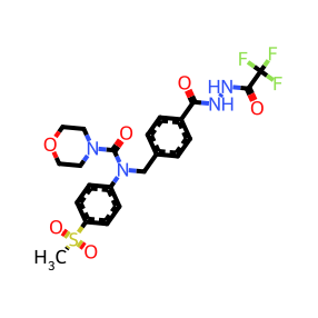 CS(=O)(=O)c1ccc(N(Cc2ccc(C(=O)NNC(=O)C(F)(F)F)cc2)C(=O)N2CCOCC2)cc1